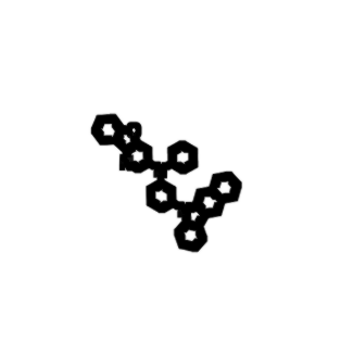 c1ccc(N(c2cccc(-n3c4ccccc4c4cc5ccccc5cc43)c2)c2cnc3c(c2)oc2ccccc23)cc1